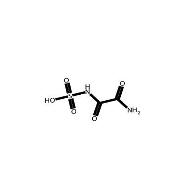 NC(=O)C(=O)NS(=O)(=O)O